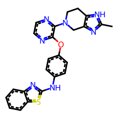 Cc1nc2c([nH]1)CCN(c1nccnc1Oc1ccc(Nc3nc4ccccc4s3)cc1)C2